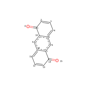 O=C1[C]=CC=c2cc3c(cc21)=CC=CC3=O